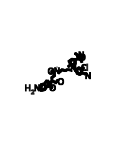 Cc1ccc(-c2c(C)noc2C)cc1N(CCCCCN(C)C(=O)CCC(CC=O)N1Cc2cc(N)ccc2C1=O)c1ccc(C#N)c(Cl)c1